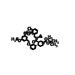 COc1cc(COc2cccc([C@H]3CCN(C(=O)OC(C)(C)C)C[C@@H]3C(=O)N(Cc3cccc(Cl)c3Cl)C3CC3)c2)cc(OC)c1